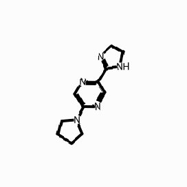 c1nc(N2CCCC2)cnc1C1=NCCN1